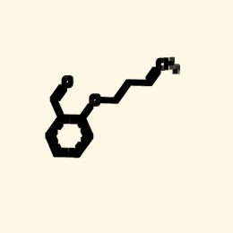 C=CCCOc1ccccc1C=O